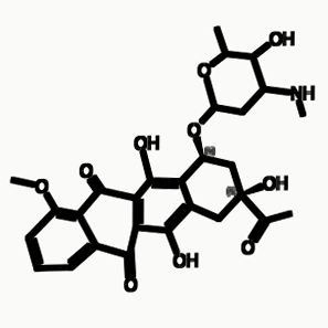 CNC1CC(O[C@H]2C[C@](O)(C(C)=O)Cc3c(O)c4c(c(O)c32)C(=O)c2c(OC)cccc2C4=O)OC(C)C1O